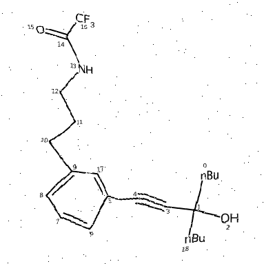 CCCCC(O)(C#Cc1cccc(CCCNC(=O)C(F)(F)F)c1)CCCC